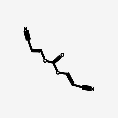 N#CC=COC(=O)OC=CC#N